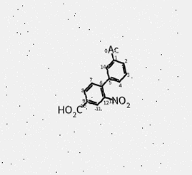 CC(=O)c1cccc(-c2ccc(C(=O)O)cc2[N+](=O)[O-])c1